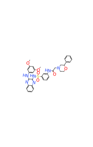 COc1cc(Nc2nc3ccccc3nc2NS(=O)(=O)c2cccc(NC(=O)CN3CCOC(c4ccccc4)C3)c2)cc(OC)c1